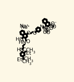 CCC(C)(C)c1ccc(OCCCNC(=O)c2cc(OCCOc3ccc(N=Nc4c(OS(=O)(=O)[O-])c(S(=O)(=O)[O-])cc5ccccc45)cc3)c3ccccc3c2O)c(C(C)(C)CC)c1.[Na+].[Na+]